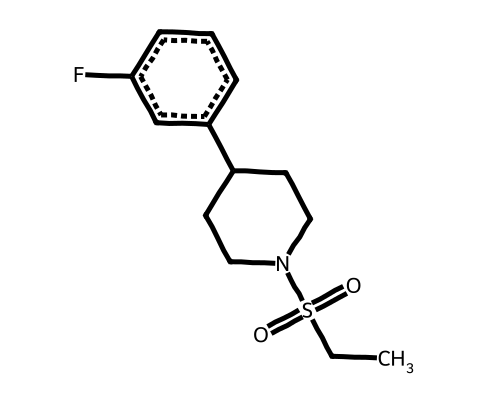 CCS(=O)(=O)N1CCC(c2cccc(F)c2)CC1